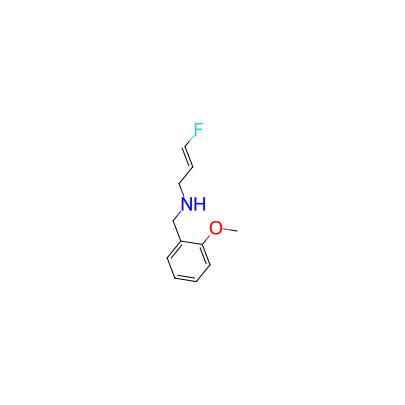 COc1ccccc1CNCC=CF